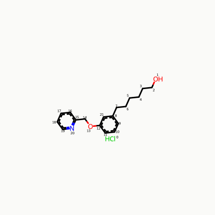 Cl.OCCCCCCc1cccc(OCc2ccccn2)c1